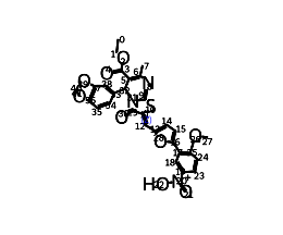 CCOC(=O)C1=C(C)N=c2s/c(=C\c3ccc(-c4cc([N+](=O)O)ccc4OC)o3)c(=O)n2C1c1ccc2c(c1)OCO2